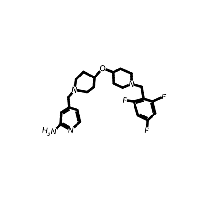 Nc1cc(CN2CCC(OC3CCN(Cc4c(F)cc(F)cc4F)CC3)CC2)ccn1